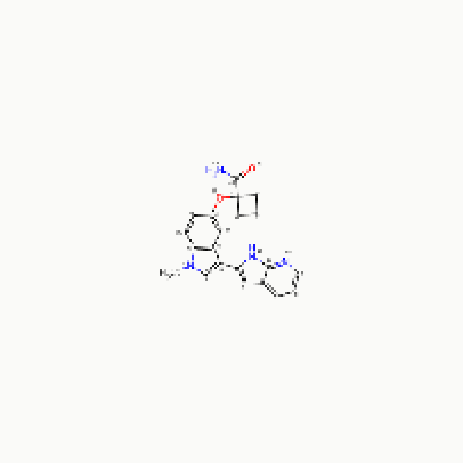 Cn1cc(-c2cc3cccnc3[nH]2)c2cc(OC3(C(N)=O)CCC3)ccc21